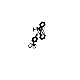 COC(=O)c1ccc(CN(c2ccccn2)c2nc3ccccc3[nH]2)cc1